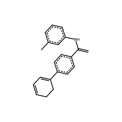 C=C(Nc1cccc(C)c1)c1ccc(C2=CC=CCC2)cc1